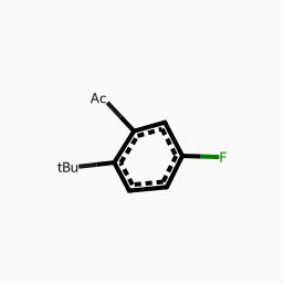 CC(=O)c1cc(F)ccc1C(C)(C)C